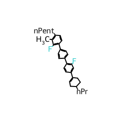 CCCCCc1ccc(-c2ccc(-c3ccc(C4=CCC(CCC)CC4)cc3F)cc2)c(F)c1C